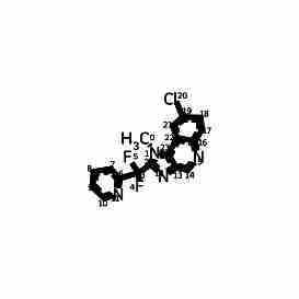 Cn1c(C(F)(F)c2ccccn2)nc2cnc3ccc(Cl)cc3c21